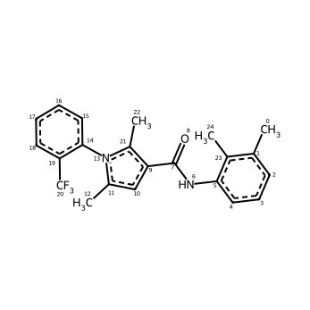 Cc1cccc(NC(=O)c2cc(C)n(-c3ccccc3C(F)(F)F)c2C)c1C